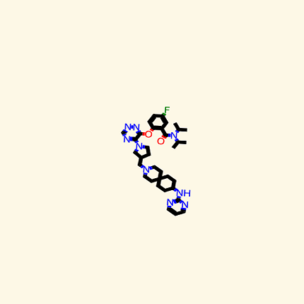 CC(C)N(C(=O)c1cc(F)ccc1Oc1nncnc1N1CCC(CN2CCC3(CCC(Nc4ncccn4)CC3)CC2)C1)C(C)C